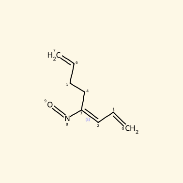 C=C/C=C(\CCC=C)N=O